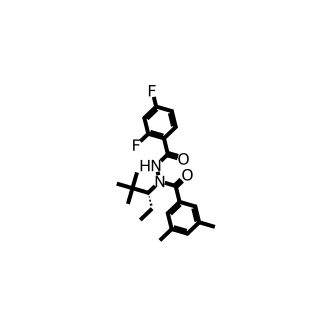 CC[C@@H](N(NC(=O)c1ccc(F)cc1F)C(=O)c1cc(C)cc(C)c1)C(C)(C)C